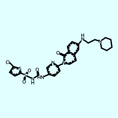 O=C(Nc1ccc(-n2ccc3cc(NCCN4CCCCC4)ccc3c2=O)nc1)NS(=O)(=O)c1ccc(Cl)s1